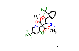 COC(=O)C(C(=O)OC)(c1ncc(C(F)(F)F)cc1Cl)C(N)C(=O)c1ccccc1C(F)(F)F